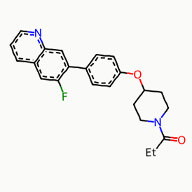 CCC(=O)N1CCC(Oc2ccc(-c3cc4ncccc4cc3F)cc2)CC1